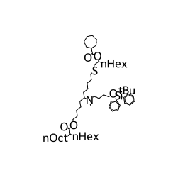 CCCCCCCCC(CCCCCC)C(=O)OCCCCCC(CCCCCSCC(CCCCCC)OC(=O)C1CCCCCC1)N(C)CCCCO[Si](c1ccccc1)(c1ccccc1)C(C)(C)C